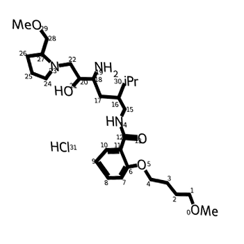 COCCCCOc1ccccc1C(=O)NCC(CC(N)C(O)CN1CCCC1COC)C(C)C.Cl